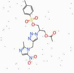 CC(=O)OCC(COS(=O)(=O)c1ccc(C)cc1)n1cc(Cn2c([N+](=O)[O-])cnc2C)nn1